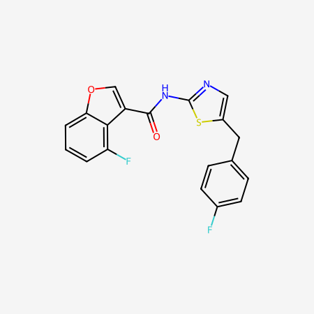 O=C(Nc1ncc(Cc2ccc(F)cc2)s1)c1coc2cccc(F)c12